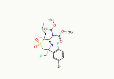 CC(C)(C)OC(=O)N(C(=O)OC(C)(C)C)C1=N[C@@](CF)(c2cc(Br)ccc2F)CS(=O)(=O)[C@@]1(C)CCI